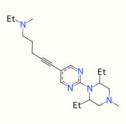 CCC1CN(C)CC(CC)N1c1ncc(C#CCCCN(C)CC)cn1